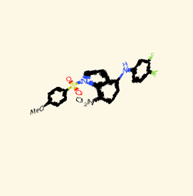 COc1ccc(S(=O)(=O)n2ccc3c(Nc4ccc(F)c(F)c4)ccc([N+](=O)[O-])c32)cc1